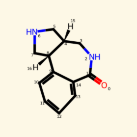 O=C1NC[C@H]2CNC[C@H]2c2ccccc21